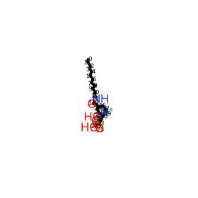 CCCCCCCCCCCCNC(=O)C1CC[N+](C)(CC(O)CS(=O)(=O)O)CC1